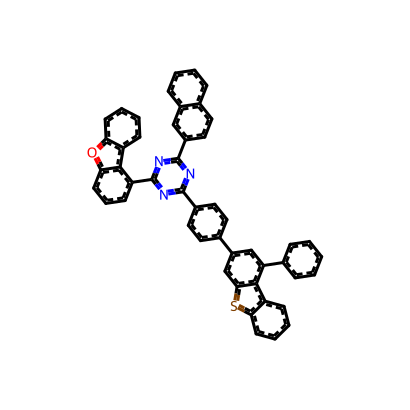 c1ccc(-c2cc(-c3ccc(-c4nc(-c5ccc6ccccc6c5)nc(-c5cccc6oc7ccccc7c56)n4)cc3)cc3sc4ccccc4c23)cc1